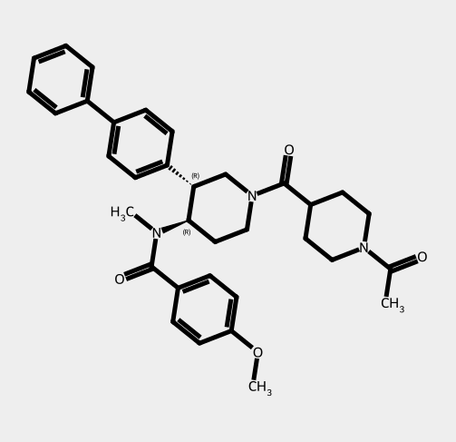 COc1ccc(C(=O)N(C)[C@@H]2CCN(C(=O)C3CCN(C(C)=O)CC3)C[C@H]2c2ccc(-c3ccccc3)cc2)cc1